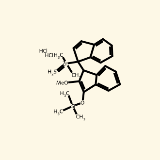 COC1=C(O[Si](C)(C)C)c2ccccc2C1[C]1([Zr]([CH3])([CH3])=[SiH2])C=Cc2ccccc21.Cl.Cl